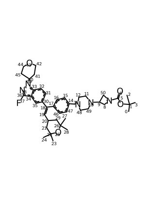 CC(C)(C)OC(=O)N1CC(N2CCN(c3ccc(C(=CC4CC(C)(C)OC(C)(C)C4)c4ccc5c(c4)c(F)nn5C4CCOCC4)cc3)CC2)C1